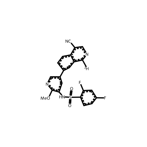 [2H]c1ncc(C#N)c2ccc(-c3cnc(OC)c(NS(=O)(=O)c4ccc(F)cc4F)c3)cc12